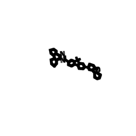 CC1(C)c2cc(-c3ccc4oc5ccccc5c4c3)ccc2-c2ccc(-c3cnc4c5ccccc5c5ccccc5c4n3)cc21